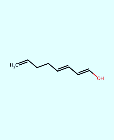 C=CCCC=CC=CO